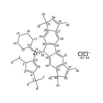 CCC1C=C(C(C)(C)C)C=[C]1[Zr+2](=[C]1CCCCC1)[CH]1c2cc3c(cc2-c2cc4c(cc21)C(C)(C)C=C4C)C(C)=CC3(C)C.[Cl-].[Cl-]